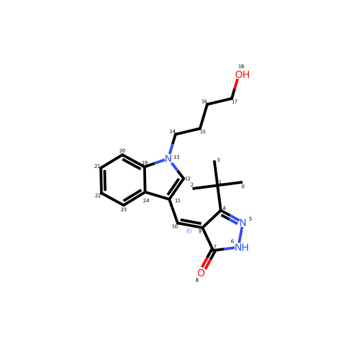 CC(C)(C)C1=NNC(=O)/C1=C/c1cn(CCCCO)c2ccccc12